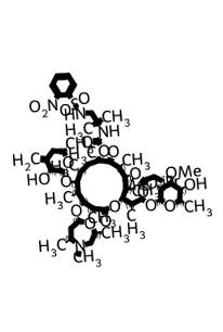 C=C1C[C@@H](C)O[C@@H](O[C@@H]2[C@@H](C)[C@H](O[C@H]3C[C@@H](C)N(C)C[C@H](C)O3)[C@@H](C)C(=O)O[C@H]([C@@H](C)CO[C@@H]3O[C@H](C)[C@@H](O)[C@@H](OC)[C@H]3OC)[C@H](C)[C@@H](OC(=O)CC(C)C)[C@@H](C)C(=O)[C@@](C)(OC(=O)NC(C)(C)CNS(=O)(=O)c3ccccc3[N+](=O)[O-])C[C@@H]2C)[C@@H]1O